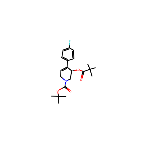 CC(C)(C)OC(=O)N1CC=C(c2ccc(F)cc2)[C@@H](OC(=O)C(C)(C)C)C1